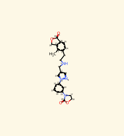 Cc1c(CCNCc2cnn(-c3cccc(N4CCOC4=O)c3)c2)ccc2c1COC2=O